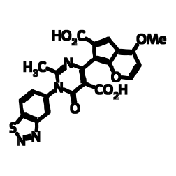 COc1ccoc2c(-c3nc(C)n(-c4ccc5snnc5c4)c(=O)c3C(=O)O)c(C(=O)O)cc1-2